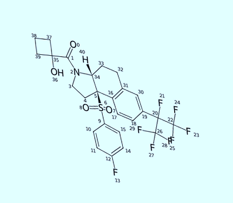 O=C(N1CC[C@@]2(S(=O)(=O)c3ccc(F)cc3)c3ccc(C(F)(C(F)(F)F)C(F)(F)F)cc3CC[C@@H]12)C1(O)CCC1